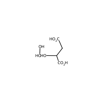 O=C(O)CC(O)C(=O)O.OO